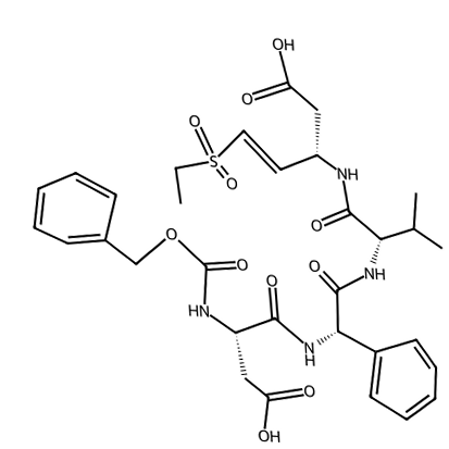 CCS(=O)(=O)/C=C/[C@H](CC(=O)O)NC(=O)[C@@H](NC(=O)[C@@H](NC(=O)[C@H](CC(=O)O)NC(=O)OCc1ccccc1)c1ccccc1)C(C)C